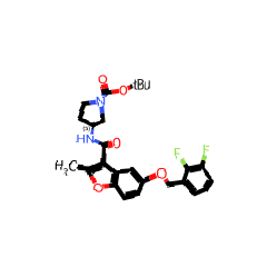 Cc1oc2ccc(OCc3cccc(F)c3F)cc2c1C(=O)N[C@H]1CCN(C(=O)OC(C)(C)C)C1